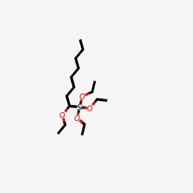 CCCCCCCC(OCC)[Si](OCC)(OCC)OCC